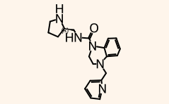 O=C(NC[C@H]1CCCN1)N1CCN(Cc2ccccn2)c2ccccc21